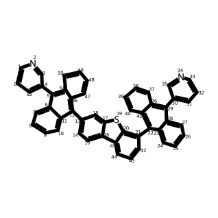 c1cncc(-c2c3ccccc3c(-c3ccc4c(c3)sc3c(-c5c6ccccc6c(-c6cccnc6)c6ccccc56)cccc34)c3ccccc23)c1